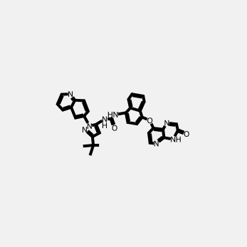 CC(C)(C)c1cc(NC(=O)Nc2ccc(Oc3ccnc4[nH]c(=O)cnc34)c3ccccc23)n(-c2ccc3ncccc3c2)n1